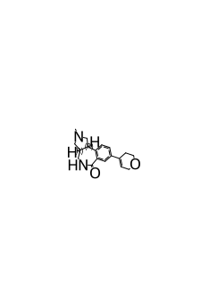 CN1C[C@H]2CNC(=O)c3cc(C4=CCOCC4)ccc3[C@@H]2C1